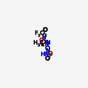 CC1(c2c(C(=O)N3CCC(c4ccccc4)(C(F)(F)F)C3)cnn2C2CCN(C(=O)Nc3ccccc3F)CC2)CC1